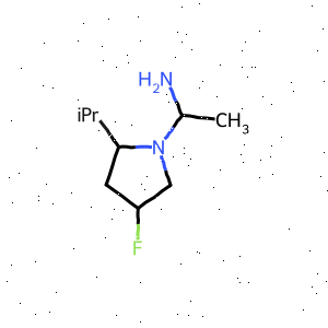 CC(C)C1CC(F)CN1C(C)N